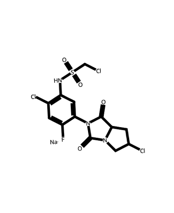 O=C1C2CC(Cl)CN2C(=O)N1c1cc(NS(=O)(=O)CCl)c(Cl)cc1F.[Na]